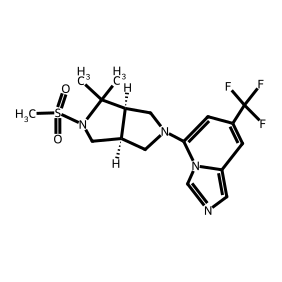 CC1(C)[C@H]2CN(c3cc(C(F)(F)F)cc4cncn34)C[C@H]2CN1S(C)(=O)=O